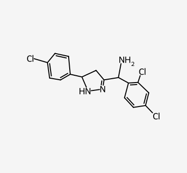 NC(C1=NNC(c2ccc(Cl)cc2)C1)c1ccc(Cl)cc1Cl